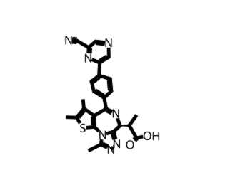 Cc1sc2c(c1C)C(c1ccc(-c3cncc(C#N)n3)cc1)=N[C@@H](C(C)C(=O)O)c1nnc(C)n1-2